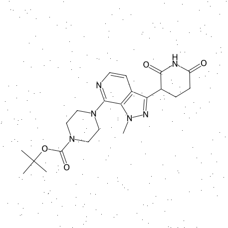 Cn1nc(C2CCC(=O)NC2=O)c2ccnc(N3CCN(C(=O)OC(C)(C)C)CC3)c21